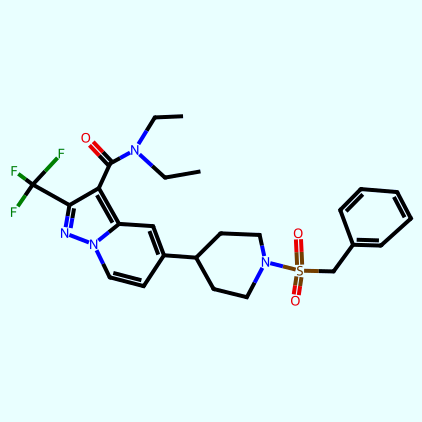 CCN(CC)C(=O)c1c(C(F)(F)F)nn2ccc(C3CCN(S(=O)(=O)Cc4ccccc4)CC3)cc12